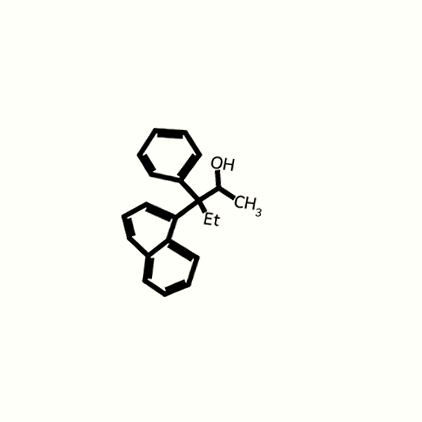 CCC(c1ccccc1)(c1cccc2ccccc12)C(C)O